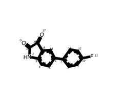 O=C1Nc2ccc(-c3ccc(F)cc3)cc2C1=O